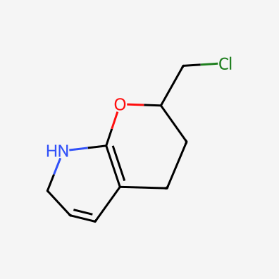 ClCC1CCC2=C(NCC=C2)O1